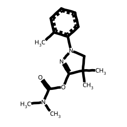 Cc1ccccc1N1CC(C)(C)C(OC(=O)N(C)C)=N1